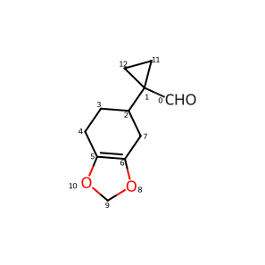 O=CC1(C2CCC3=C(C2)OCO3)CC1